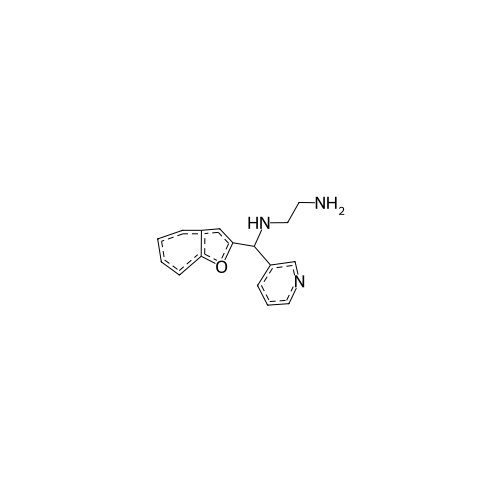 NCCNC(c1cccnc1)c1cc2ccccc2o1